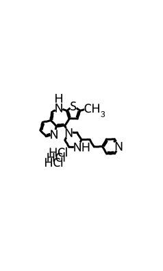 Cc1cc2c(s1)NC=c1cccnc1=C2N1CCNC(CCc2ccncc2)C1.Cl.Cl.Cl